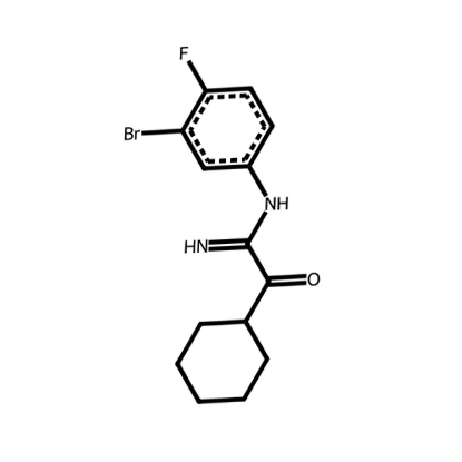 N=C(Nc1ccc(F)c(Br)c1)C(=O)C1CCCCC1